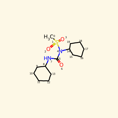 CS(=O)(=O)N(C(=O)NC1CCCCC1)C1CCCCC1